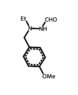 CCN(Cc1ccc(OC)cc1)NC=O